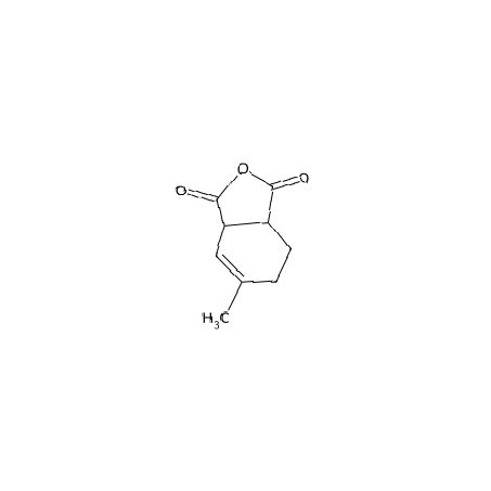 CC1=CC2C(=O)OC(=O)C2CC1